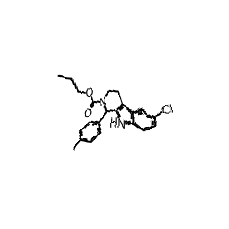 CCCOC(=O)N1CCc2c([nH]c3ccc(Cl)cc23)C1c1ccc(C)cc1